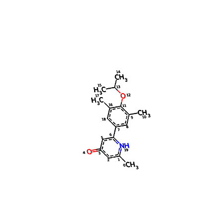 Cc1cc(=O)cc(-c2cc(C)c(OC(C)C)c(C)c2)[nH]1